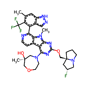 Cc1cc2[nH]ncc2c(-c2nccc3c4c(N5CCOC[C@@](C)(O)C5)nc(OC[C@@]56CCCN5C[C@H](F)C6)nc4n(C)c23)c1C(F)(F)F